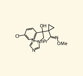 CCC/C(=N\OC)C1(C(O)(Cn2cncn2)c2ccc(Cl)cc2)CC1